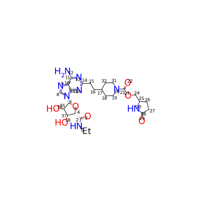 CCNC(=O)[C@H]1O[C@@H](n2cnc3c(N)nc(CCC4CCN(C(=O)OCC5CCC(=O)N5)CC4)nc32)C(O)C1O